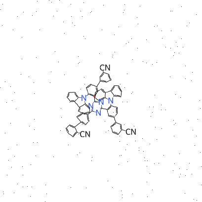 N#Cc1cccc(-c2ccc(-n3c4ccccc4c4ccccc43)c(-c3nc(-c4ccc(-c5ccccc5C#N)cc4)nc(-c4cc(-c5cccc(C#N)c5)ccc4-n4c5ccccc5c5ccccc54)n3)c2)c1